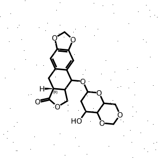 O=C1OCC2C(OC3CC(O)C4OCOCC4O3)c3cc4c(cc3C[C@@H]12)OCO4